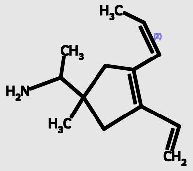 C=CC1=C(/C=C\C)CC(C)(C(C)N)C1